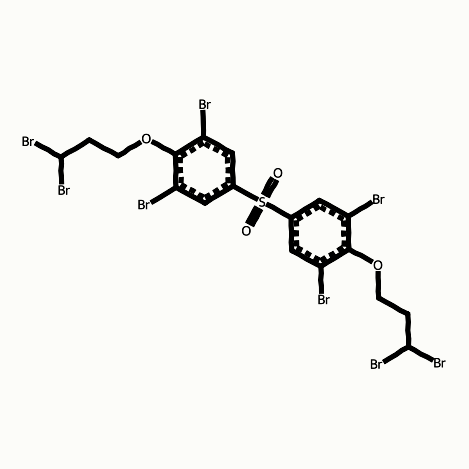 O=S(=O)(c1cc(Br)c(OCCC(Br)Br)c(Br)c1)c1cc(Br)c(OCCC(Br)Br)c(Br)c1